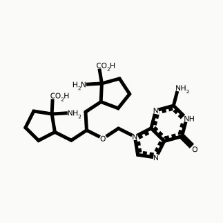 Nc1nc2c(ncn2COC(CC2CCCC2(N)C(=O)O)CC2CCCC2(N)C(=O)O)c(=O)[nH]1